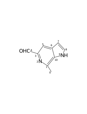 Cc1nc(C=O)cc2cc[nH]c12